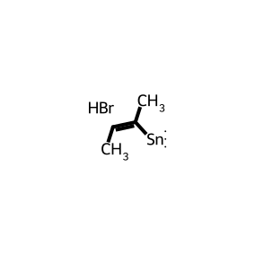 Br.CC=[C](C)[Sn]